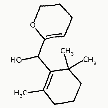 CC1=C(C(O)C2=CCCCO2)C(C)(C)CCC1